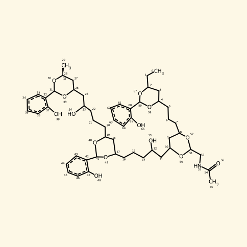 CCC1CC(CCCC2CC(CC(O)CCCC3CC(CCCC(O)CC4C[C@H](C)OC(c5ccccc5O)O4)OC(c4ccccc4O)O3)OC(CNC(C)=O)O2)OC(c2ccccc2O)O1